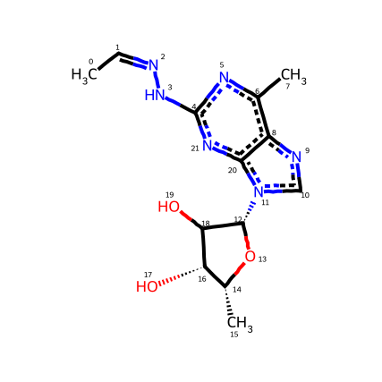 C/C=N\Nc1nc(C)c2ncn([C@@H]3O[C@H](C)[C@H](O)C3O)c2n1